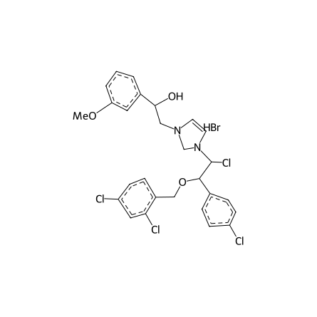 Br.COc1cccc(C(O)CN2C=CN(C(Cl)C(OCc3ccc(Cl)cc3Cl)c3ccc(Cl)cc3)C2)c1